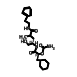 CC(C[C@@H](CO)NC(=O)[C@H](CC1CCCCC1)OC(N)=O)C(=O)NCCc1ccccc1